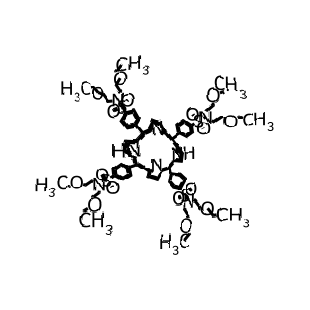 CCOCCN(CCOCC)S(=O)(=O)c1ccc(-c2c3nc(c(-c4ccc(S(=O)(=O)N(CCOCC)CCOCC)cc4)c4ccc([nH]4)c(-c4ccc(S(=O)(=O)N(CCOCC)CCOCC)cc4)c4nc(c(-c5ccc(S(=O)(=O)N(CCOCC)CCOCC)cc5)c5ccc2[nH]5)C=C4)C=C3)cc1